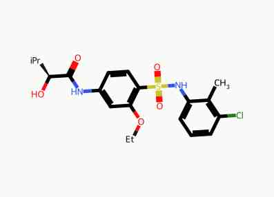 CCOc1cc(NC(=O)[C@@H](O)C(C)C)ccc1S(=O)(=O)Nc1cccc(Cl)c1C